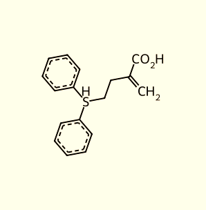 C=C(CC[SH](c1ccccc1)c1ccccc1)C(=O)O